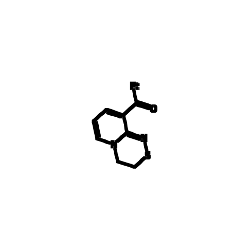 CCC(=O)C1=CC=CN2CCSN=C12